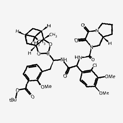 COc1ccc(C(NC(=O)N2C[C@H]3CCCN3C(=O)C2=O)C(=O)N[C@@H](Cc2cccc(C(=O)OC(C)(C)C)c2OC)B2O[C@@H]3C[C@@H]4C[C@@H](C4(C)C)[C@]3(C)O2)c(Cl)c1OC